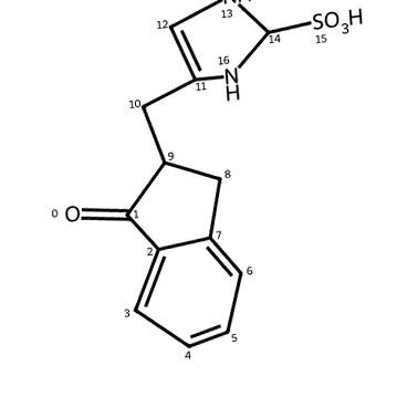 O=C1c2ccccc2CC1CC1=CNC(S(=O)(=O)O)N1